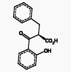 O=C(O)[C@H](Cc1ccccc1)C(=O)c1ccccc1O